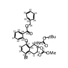 COC(=O)O[C@@]1(NC(=O)OC(C)(C)C)CCc2c(Br)ccc(Oc3ccccc3C(=O)OCc3ccccc3)c2C1